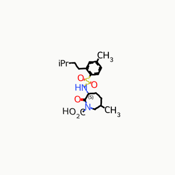 Cc1ccc(S(=O)(=O)N[C@H]2CCC(C)CN(C(=O)O)C2=O)c(CCC(C)C)c1